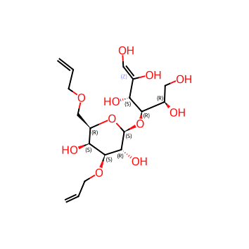 C=CCOC[C@H]1O[C@@H](O[C@H]([C@H](O)CO)[C@H](O)/C(O)=C/O)[C@H](O)[C@@H](OCC=C)[C@H]1O